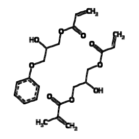 C=CC(=O)OCC(O)COC(=O)C(=C)C.C=CC(=O)OCC(O)COc1ccccc1